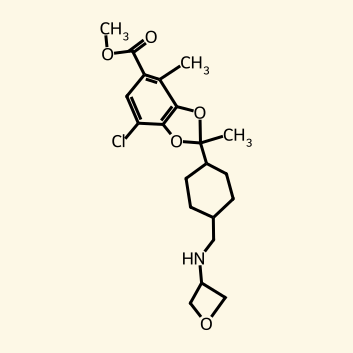 COC(=O)c1cc(Cl)c2c(c1C)OC(C)(C1CCC(CNC3COC3)CC1)O2